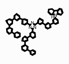 C1=C[C@H]2C(CC1)c1ccccc1N2c1cccc(-c2cccc(-c3cccc(-c4nc(-c5ccc(-c6cccc(-c7cccc(-c8cccc(-c9ccccc9)c8)c7)c6)cc5)nc(-c5cccc(-c6cccc(-c7cccc(-c8ccccc8)c7)c6)c5)n4)c3)c2)c1